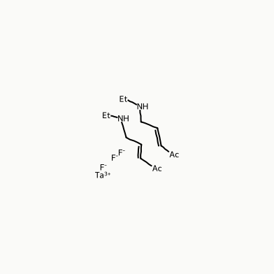 CCNCC=CC(C)=O.CCNCC=CC(C)=O.[F-].[F-].[F-].[Ta+3]